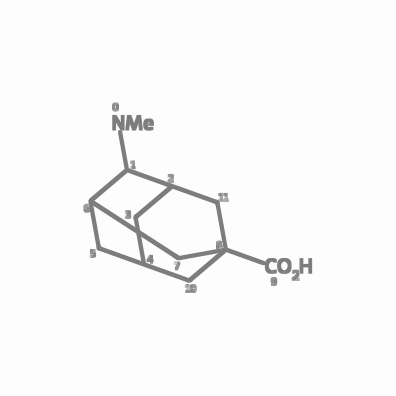 CNC1C2CC3CC1CC(C(=O)O)(C3)C2